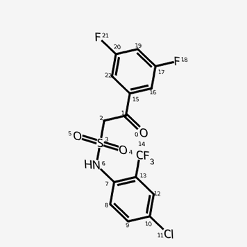 O=C(CS(=O)(=O)Nc1ccc(Cl)cc1C(F)(F)F)c1cc(F)cc(F)c1